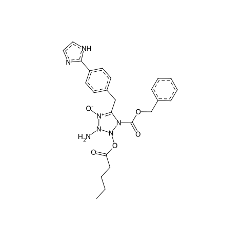 CCCCC(=O)ON1N(C(=O)OCc2ccccc2)C(Cc2ccc(-c3ncc[nH]3)cc2)=[N+]([O-])N1N